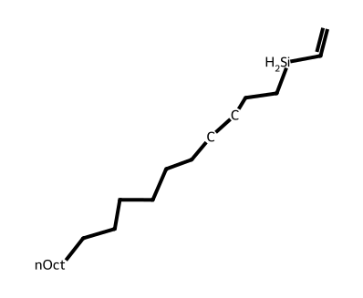 C=C[SiH2]CCCCCCCCCCCCCCCCCC